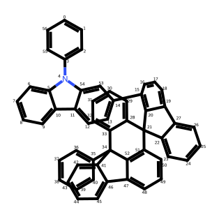 c1ccc(-n2c3ccccc3c3ccc(-c4cccc5c4C4(c6ccccc6-5)c5ccccc5C5(c6ccccc6)c6ccccc6-c6cccc4c65)cc32)cc1